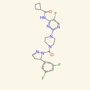 O=C(Nc1nc(N2CCN(C(=O)N3N=CCC3c3cc(F)cc(F)c3)CC2)ncc1F)C1CCC1